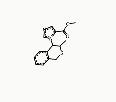 COC(=O)c1cncn1C1c2ccccc2CSC1C